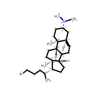 CC(C)CCCC(C)[C@H]1CC[C@H]2[C@@H]3CC=C4C[C@@H](N(C)C)CC[C@]4(C)[C@H]3CC[C@]12C